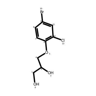 OCC(O)COc1ccc(Br)cc1Cl